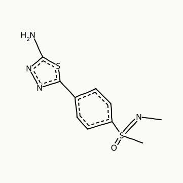 CN=S(C)(=O)c1ccc(-c2nnc(N)s2)cc1